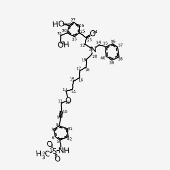 CS(=O)(=O)Nc1ccc(C#CCOCCCCCCCCN(CC(=O)c2ccc(O)c(CO)c2)Cc2ccccc2)cc1